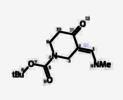 CN/C=C1\CN(C(=O)OC(C)(C)C)CCC1=O